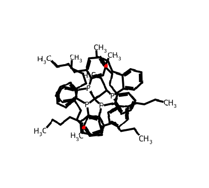 CCCCc1ccccc1P(c1ccccc1CCCC)C(CC)C(P(c1ccccc1CCCC)c1ccccc1CCCC)(P(c1ccccc1CCCC)c1ccccc1CCCC)P(c1ccccc1CCCC)c1ccccc1CCCC